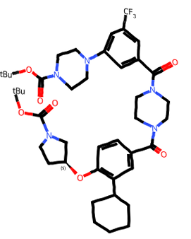 CC(C)(C)OC(=O)N1CCN(c2cc(C(=O)N3CCN(C(=O)c4ccc(O[C@H]5CCN(C(=O)OC(C)(C)C)C5)c(C5CCCCC5)c4)CC3)cc(C(F)(F)F)c2)CC1